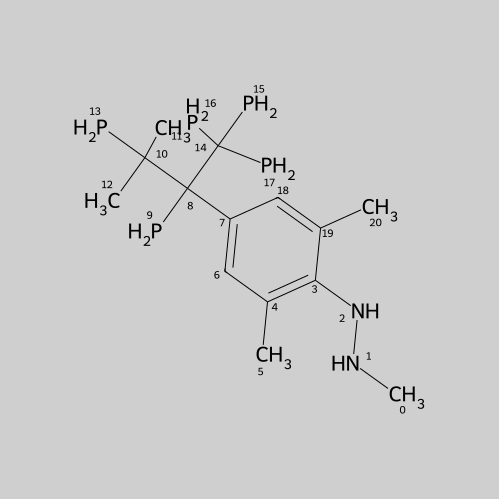 CNNc1c(C)cc(C(P)(C(C)(C)P)C(P)(P)P)cc1C